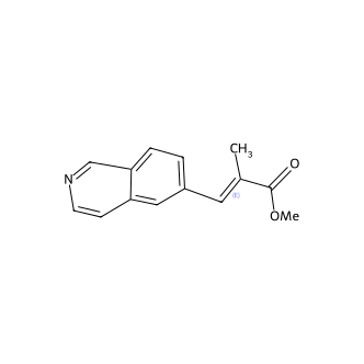 COC(=O)/C(C)=C/c1ccc2cnccc2c1